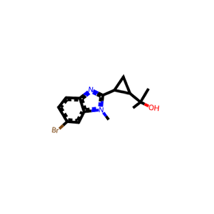 Cn1c(C2CC2C(C)(C)O)nc2ccc(Br)cc21